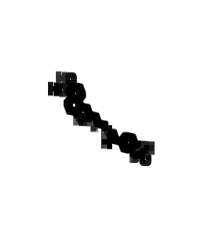 NC1CCc2c(ccc(O)c2O)C1CCCCCNCCc1ccc2[nH]c(=O)sc2c1